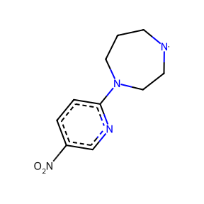 O=[N+]([O-])c1ccc(N2CCC[N]CC2)nc1